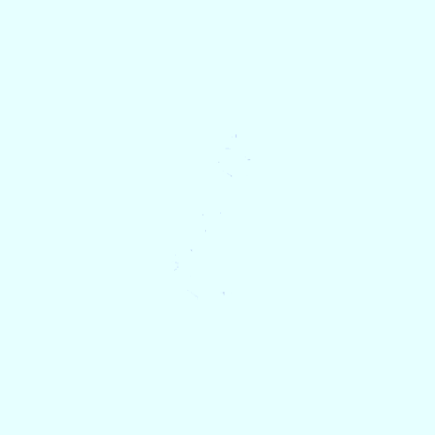 CCCCC/C=C\C/C=C\CCCCCCCC(=O)OC(CC)OC(C)C